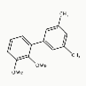 COc1[c]ccc(-c2cc(C)cc(C)c2)c1OC